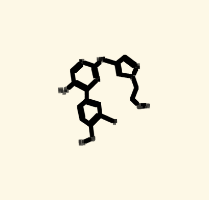 CCOc1ccc(-c2nc(Nc3cnn(CCOC)c3)ncc2C)cc1F